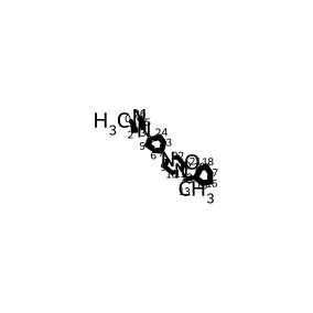 Cc1cn(-c2ccc(N3CCN(C(C)c4ccccc4)C(=O)C3)cc2)cn1